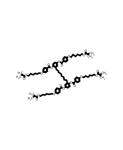 C=C(C)C(=O)OCCCCCCOc1ccc(C(=O)Oc2ccc(OC(=O)c3ccc(OCCCCCCOC(=O)C(=C)C)cc3)c(CCCCCCCCc3cc(OC(=O)c4ccc(OCCCCCCOC(=O)C(=C)C)cc4)ccc3OC(=O)c3ccc(OCCCCCCOC(=O)C(=C)C)cc3)c2)cc1